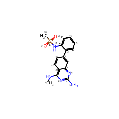 CNc1nc(N)nc2cc(-c3ccccc3NS(C)(=O)=O)ccc12